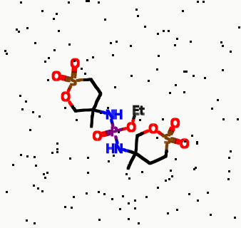 CCOP(=O)(NC1(C)CCS(=O)(=O)OC1)NC1(C)CCS(=O)(=O)OC1